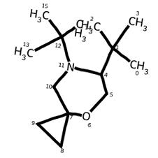 CC(C)(C)C1COC2(CC2)CN1C(C)(C)C